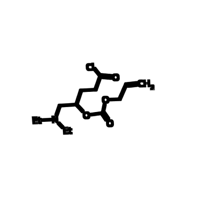 C=CCOC(=O)OC(CCC(=O)Cl)CN(CC)CC